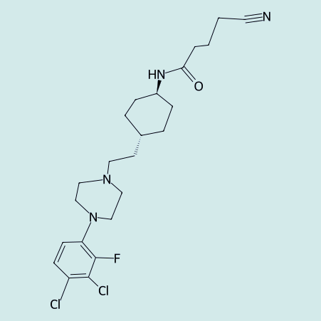 N#CCCCC(=O)N[C@H]1CC[C@H](CCN2CCN(c3ccc(Cl)c(Cl)c3F)CC2)CC1